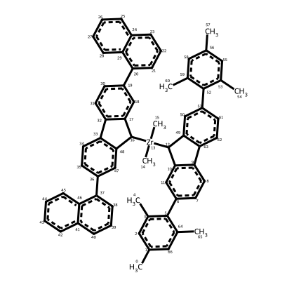 Cc1cc(C)c(-c2ccc3c(c2)[CH]([Zr]([CH3])([CH3])[CH]2c4cc(-c5cccc6ccccc56)ccc4-c4ccc(-c5cccc6ccccc56)cc42)c2cc(-c4c(C)cc(C)cc4C)ccc2-3)c(C)c1